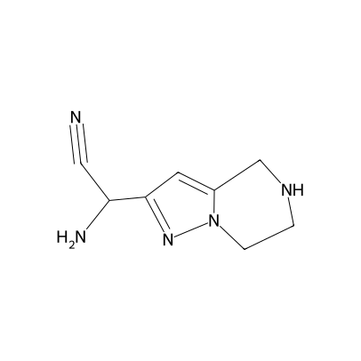 N#CC(N)c1cc2n(n1)CCNC2